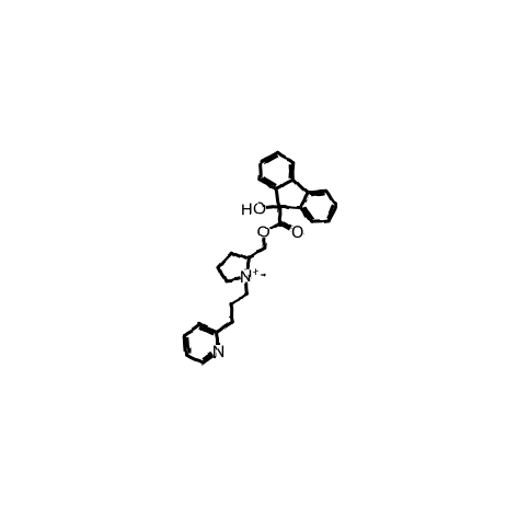 C[N@+]1(CCCc2ccccn2)CCCC1COC(=O)C1(O)c2ccccc2-c2ccccc21